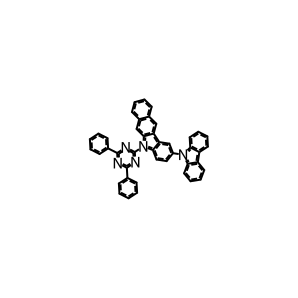 c1ccc(-c2nc(-c3ccccc3)nc(-n3c4ccc(-n5c6ccccc6c6ccccc65)cc4c4cc5ccccc5cc43)n2)cc1